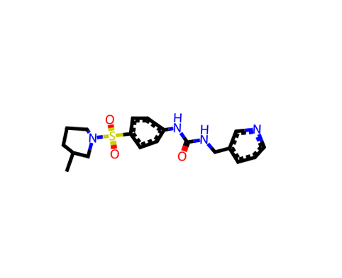 CC1CCCN(S(=O)(=O)c2ccc(NC(=O)NCc3cccnc3)cc2)C1